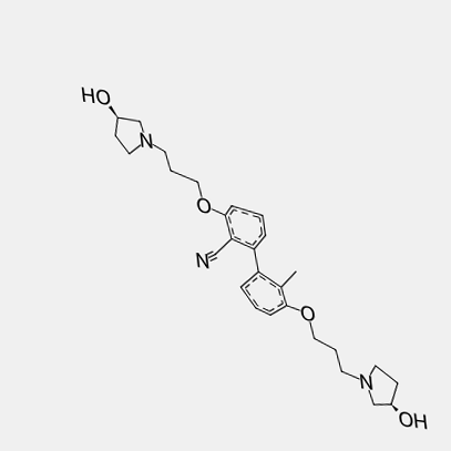 Cc1c(OCCCN2CC[C@@H](O)C2)cccc1-c1cccc(OCCCN2CC[C@@H](O)C2)c1C#N